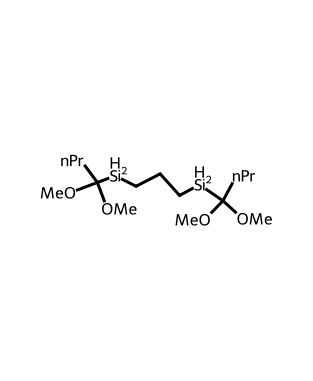 CCCC(OC)(OC)[SiH2]CCC[SiH2]C(CCC)(OC)OC